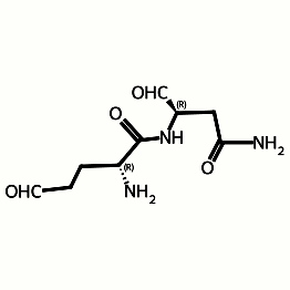 NC(=O)C[C@H](C=O)NC(=O)[C@H](N)CCC=O